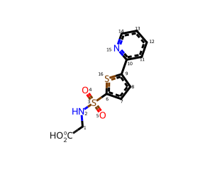 O=C(O)CNS(=O)(=O)c1ccc(-c2ccccn2)s1